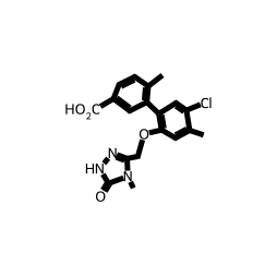 Cc1cc(OCc2n[nH]c(=O)n2C)c(-c2cc(C(=O)O)ccc2C)cc1Cl